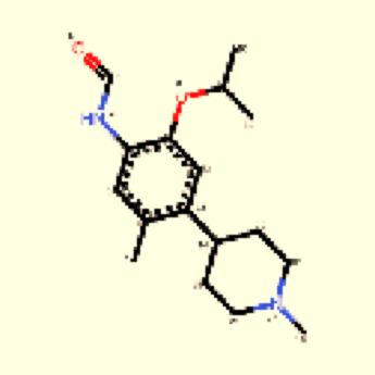 Cc1cc(NC=O)c(OC(C)C)cc1C1CCN(C)CC1